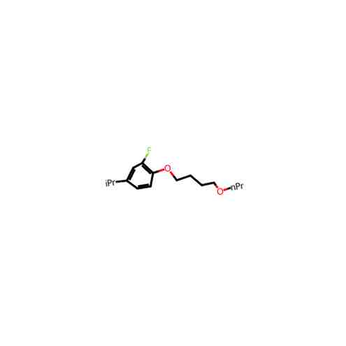 CCCOCCCCOc1ccc(C(C)C)cc1F